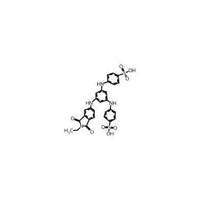 CCN1C(=O)c2ccc(Nc3cc(Nc4ccc(S(=O)(=O)O)cc4)cc(Nc4ccc(S(=O)(=O)O)cc4)c3)cc2C1=O